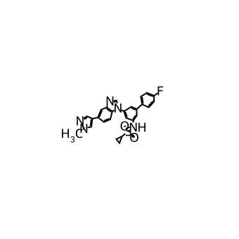 Cn1cc(-c2ccc3c(c2)ncn3-c2cc(NS(=O)(=O)C3CC3)cc(-c3ccc(F)cc3)c2)cn1